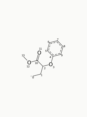 [CH2]CC(Oc1ccccc1)C(=O)OC